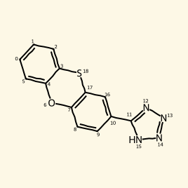 c1ccc2c(c1)Oc1ccc(-c3nnn[nH]3)cc1S2